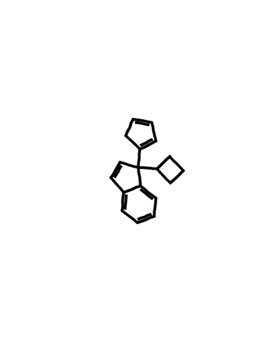 C1=CCC(C2(C3CCC3)C=Cc3ccccc32)=C1